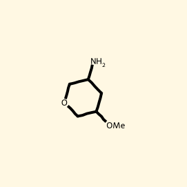 COC1COCC(N)C1